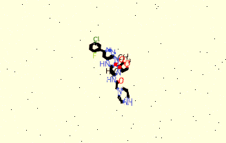 CN(CC1(C)CCOC1=O)c1nnc(-c2cc(Cl)ccc2F)cc1Nc1cc(NC(=O)CN2CCCNCC2)ncn1